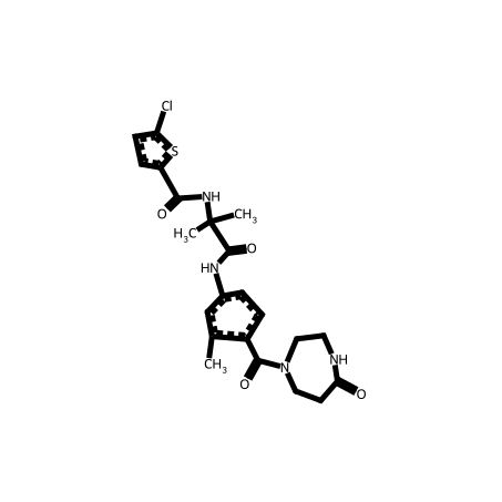 Cc1cc(NC(=O)C(C)(C)NC(=O)c2ccc(Cl)s2)ccc1C(=O)N1CCNC(=O)CC1